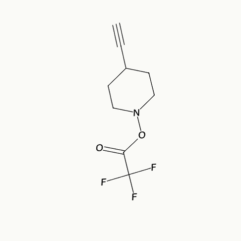 C#CC1CCN(OC(=O)C(F)(F)F)CC1